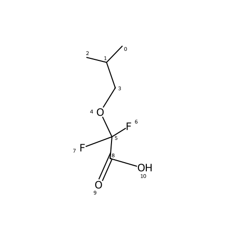 CC(C)COC(F)(F)C(=O)O